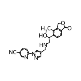 Cc1c(C(O)CNCc2cnn(-c3ccc(C#N)cn3)c2)ccc2c1COC2=O